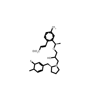 CCOC(=O)/C=C/c1ccc(C(F)(F)F)cc1[C@@H](C)OCC(O)CN1CCC[C@H]1CC1=CC(F)C(C)C=C1